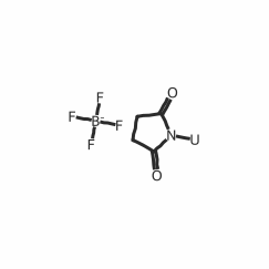 F[B-](F)(F)F.O=C1CCC(=O)[N]1[U]